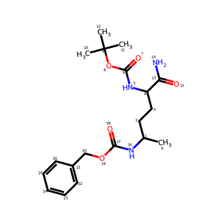 CC(CCC(NC(=O)OC(C)(C)C)C(N)=O)NC(=O)OCc1ccccc1